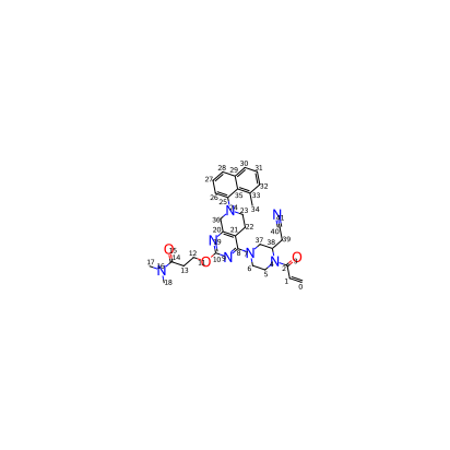 C=CC(=O)N1CCN(c2nc(OCCC(=O)N(C)C)nc3c2CCN(c2cccc4cccc(C)c24)C3)CC1CC#N